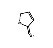 N=C1C=CC[N]1